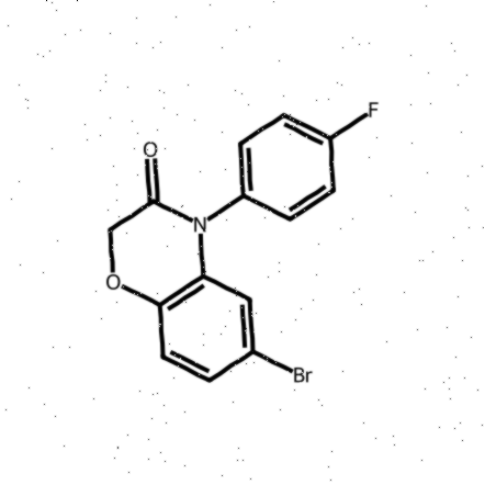 O=C1COc2ccc(Br)cc2N1c1ccc(F)cc1